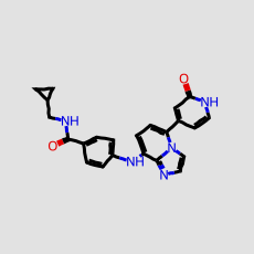 O=C(NCC1CC1)c1ccc(Nc2ccc(-c3cc[nH]c(=O)c3)n3ccnc23)cc1